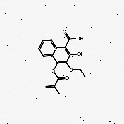 C=C(C)C(=O)Oc1c(OCC)c(O)c(C(=O)O)c2ccccc12